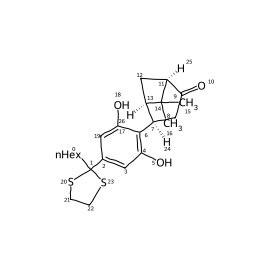 CCCCCCC1(c2cc(O)c([C@@H]3CC(=O)[C@@H]4C[C@H]3C4(C)C)c(O)c2)SCCS1